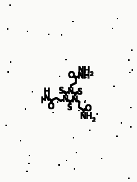 NNC(=O)CCn1c(=S)n(CCC(N)=O)c(=S)n(CCC(=O)NI)c1=S